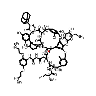 CCCNCCOc1ccc(OCCNCCC)c(NC(=O)NC(=O)C[C@@H]2NC(=O)[C@H](NC(=O)[C@@H](CC(C)C)NC)[C@H](O)c3ccc(c(C)c3)Oc3cc4cc(c3O[C@@H]3O[C@H](CN)[C@@H](O)[C@H](O)[C@H]3O)Oc3ccc(cc3Cl)[C@@H](O)[C@@H]3NC(=O)[C@H](NC(=O)[C@@H]4NC2=O)c2ccc(O)c(c2)-c2c(O)cc(O)cc2[C@@H](C(=O)NC2C4CC5CC(C4)CC2C5)NC3=O)c1